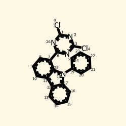 Clc1nc(Cl)nc(-c2cccc3c4ccccc4n(-c4ccccc4)c23)n1